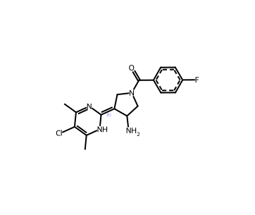 CC1=N/C(=C2\CN(C(=O)c3ccc(F)cc3)CC2N)NC(C)=C1Cl